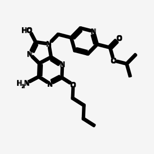 CCCCOc1nc(N)c2nc(O)n(Cc3ccc(C(=O)OC(C)C)nc3)c2n1